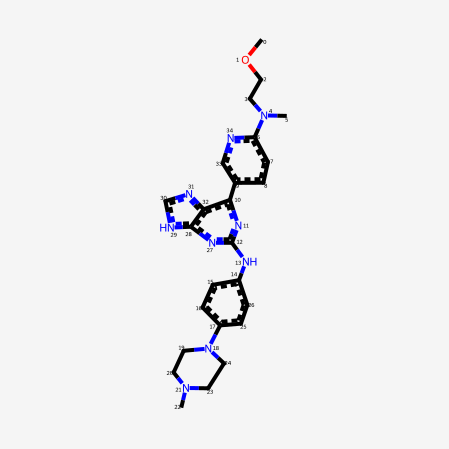 COCCN(C)c1ccc(-c2nc(Nc3ccc(N4CCN(C)CC4)cc3)nc3[nH]cnc23)cn1